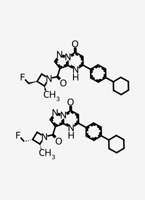 C[C@@H]1[C@H](CF)CN1C(=O)c1cnn2c(=O)cc(-c3ccc(C4CCCCC4)cc3)[nH]c12.C[C@H]1[C@@H](CF)CN1C(=O)c1cnn2c(=O)cc(-c3ccc(C4CCCCC4)cc3)[nH]c12